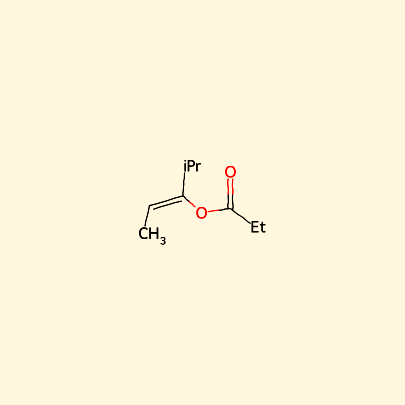 C/C=C(\OC(=O)CC)C(C)C